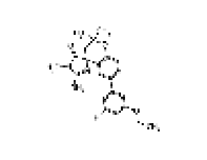 CCOc1cc(F)cc(-c2ccc3c(c2)C2(CC(C)(C)O3)N=C(N)N(C)C2=O)c1